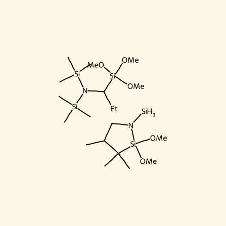 CCC(N([Si](C)(C)C)[Si](C)(C)C)[Si](OC)(OC)OC.CO[Si]1(OC)N([SiH3])CC(C)C1(C)C